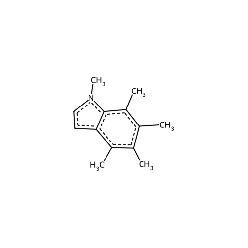 Cc1c(C)c(C)c2c(ccn2C)c1C